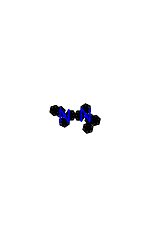 c1ccc(-c2cc(-n3c4ccccc4c4cc(-c5ccc6c(c5)c5ccccc5n6-c5ccc6ccccc6c5)ccc43)cc3ccccc23)cc1